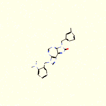 Cc1cccc(Cn2c3ncnc4c(ncn4Cc4ccccc4N(C)C)c-3nc2=O)c1